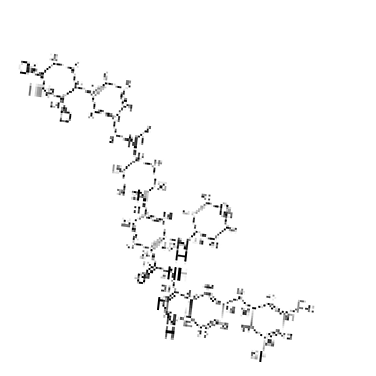 CN(Cc1cccc(C2CCC(=O)NC2=O)c1)C1CCN(c2ccc(C(=O)Nc3n[nH]c4ccc(Cc5cc(F)cc(F)c5)cc34)c(NC3CCOCC3)c2)CC1